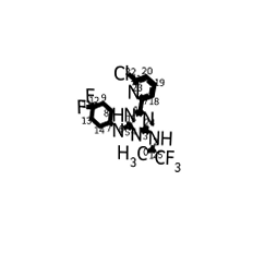 CC(Nc1nc(NC2CCC(F)(F)CC2)nc(-c2cccc(Cl)n2)n1)C(F)(F)F